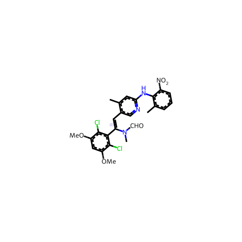 COc1cc(OC)c(Cl)c(/C(=C/c2cnc(Nc3c(C)cccc3[N+](=O)[O-])cc2C)N(C)C=O)c1Cl